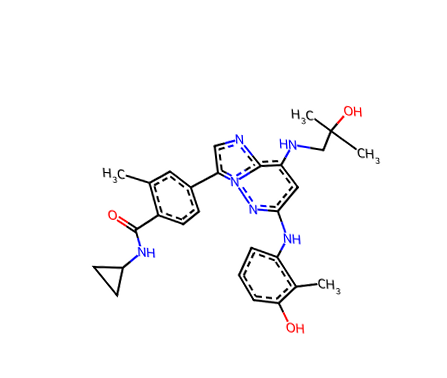 Cc1cc(-c2cnc3c(NCC(C)(C)O)cc(Nc4cccc(O)c4C)nn23)ccc1C(=O)NC1CC1